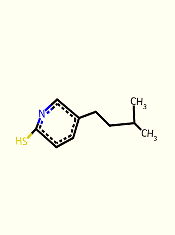 CC(C)CCc1ccc(S)nc1